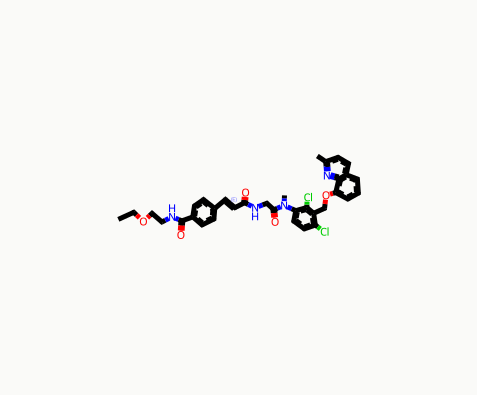 CCOCCNC(=O)c1ccc(/C=C/C(=O)NCC(=O)N(C)c2ccc(Cl)c(COc3cccc4ccc(C)nc34)c2Cl)cc1